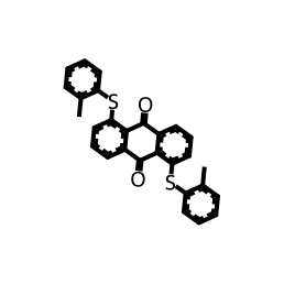 Cc1ccccc1Sc1cccc2c1C(=O)c1cccc(Sc3ccccc3C)c1C2=O